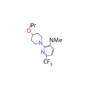 CNc1ccc(C(F)(F)F)nc1N1CCC(OC(C)C)CC1